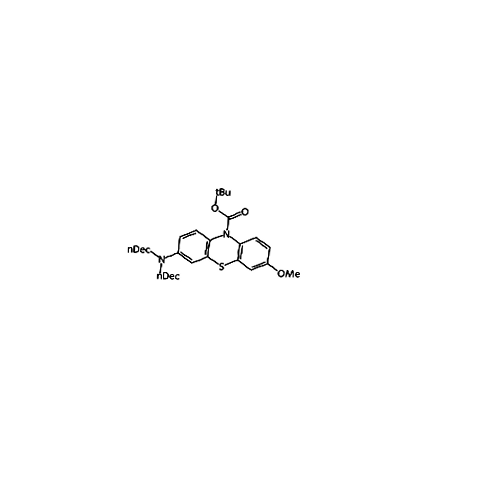 CCCCCCCCCCN(CCCCCCCCCC)c1ccc2c(c1)Sc1cc(OC)ccc1N2C(=O)OC(C)(C)C